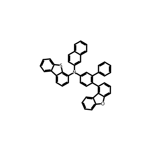 c1ccc(-c2cc(N(c3ccc4ccccc4c3)c3cccc4c3sc3ccccc34)ccc2-c2cccc3oc4ccccc4c23)cc1